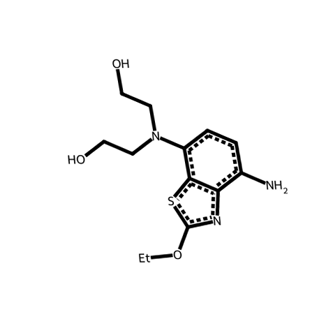 CCOc1nc2c(N)ccc(N(CCO)CCO)c2s1